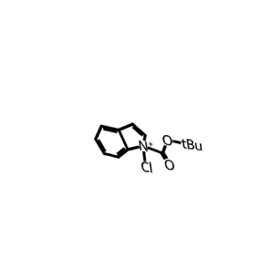 CC(C)(C)OC(=O)[N+]1(Cl)C=Cc2ccccc21